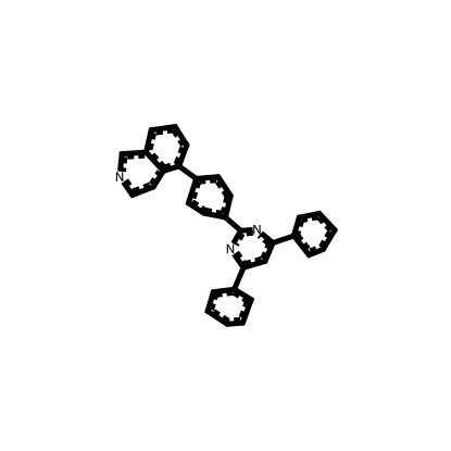 c1ccc(-c2cc(-c3ccccc3)nc(-c3ccc(-c4cccc5cnccc45)cc3)n2)cc1